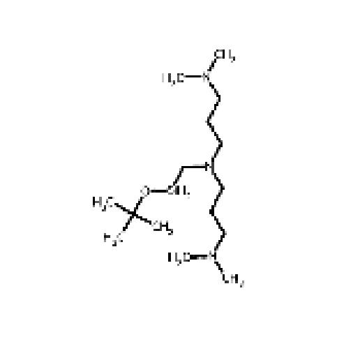 CN(C)CCCN(CCCN(C)C)C[SiH2]OC(C)(C)C